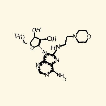 Nc1ncnc2c1nc(NCCN1CCOCC1)n2[C@@H]1O[C@H](CO)[C@@H](O)[C@H]1O